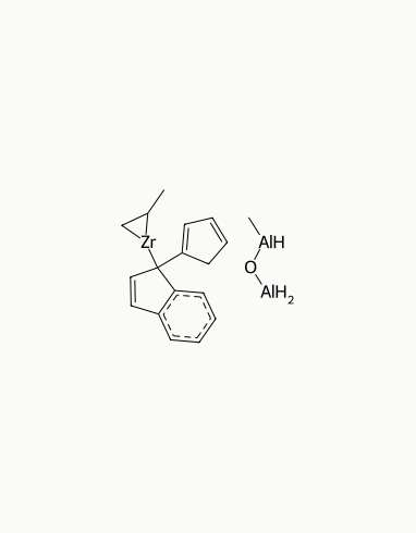 C[CH]1[CH2][Zr]1[C]1(C2=CC=CC2)C=Cc2ccccc21.[CH3][AlH][O][AlH2]